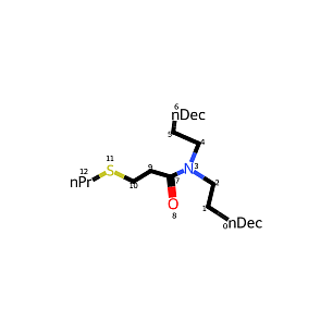 CCCCCCCCCCCCN(CCCCCCCCCCCC)C(=O)CCSCCC